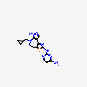 Nc1ccnc(Nc2nc3c(s2)CCN(CC2CC2)c2[nH]ncc2-3)n1